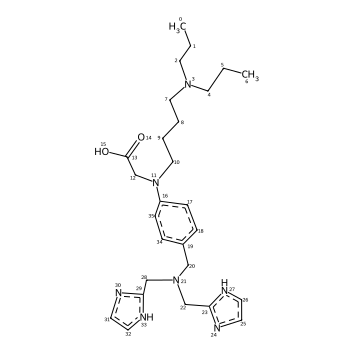 CCCN(CCC)CCCCN(CC(=O)O)c1ccc(CN(Cc2ncc[nH]2)Cc2ncc[nH]2)cc1